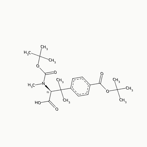 CN(C(=O)OC(C)(C)C)[C@H](C(=O)O)C(C)(C)c1ccc(C(=O)OC(C)(C)C)cc1